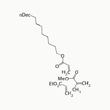 C=C(C)C(=O)OC.C=CC(=O)OCC.C=CC(=O)OCCCCCCCCCCCCCCCCCC